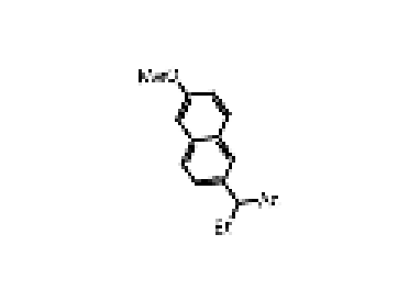 CCC(C(C)=O)c1ccc2cc(OC)ccc2c1